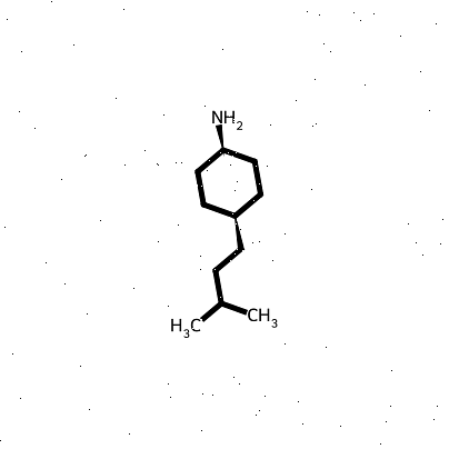 CC(C)CC[C@H]1CC[C@@H](N)CC1